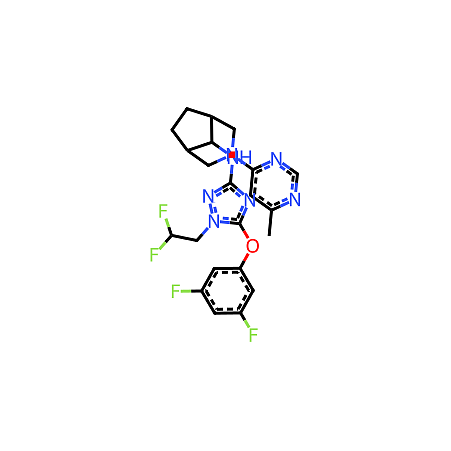 Cc1cc(N2CC3CCC(C2)C3Nc2nc(Oc3cc(F)cc(F)c3)n(CC(F)F)n2)ncn1